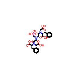 O=C(O)CN(CCN(CCN(CC(=O)O)[C@@H](Cc1ccccc1)C(=O)O)CP(=O)(O)O)[C@@H](Cc1ccccc1)C(=O)O